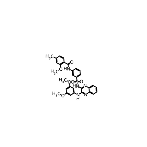 COc1cc(Nc2nc3ccccc3nc2NS(=O)(=O)c2cccc(NC(=O)c3ccc(C)cc3OC)c2)cc(OC)c1